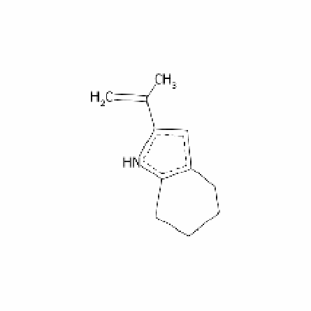 C=C(C)c1cc2c([nH]1)CCCC2